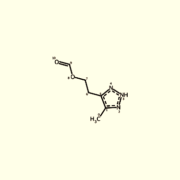 Cc1n[nH]nc1CCOC=O